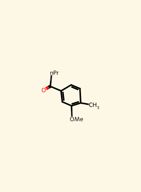 CCCC(=O)c1ccc(C)c(OC)c1